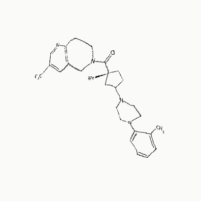 Cc1ccccc1N1CCN(C2CC[C@](C(=O)N3CCc4ncc(C(F)(F)F)cc4C3)(C(C)C)C2)CC1